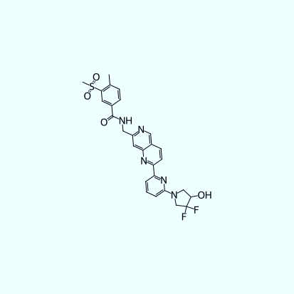 Cc1ccc(C(=O)NCc2cc3nc(-c4cccc(N5CC(O)C(F)(F)C5)n4)ccc3cn2)cc1S(C)(=O)=O